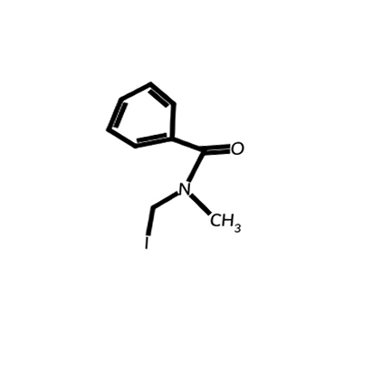 CN(CI)C(=O)c1ccccc1